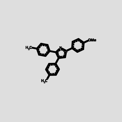 COc1ccc(-n2cc(-c3ccc(C)cc3)c(-c3ccc(C)cc3)n2)cc1